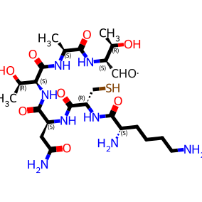 C[C@H](NC(=O)[C@@H](NC(=O)[C@H](CC(N)=O)NC(=O)[C@H](CS)NC(=O)[C@@H](N)CCCCN)[C@@H](C)O)C(=O)N[C@H]([C]=O)[C@@H](C)O